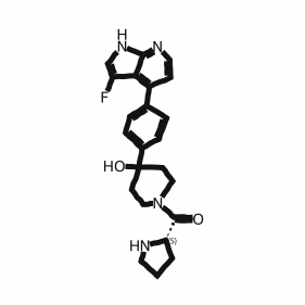 O=C([C@@H]1CCCN1)N1CCC(O)(c2ccc(-c3ccnc4[nH]cc(F)c34)cc2)CC1